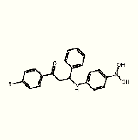 O=C(CC(Nc1ccc(N(O)O)cc1)c1ccccc1)c1ccc(Br)cc1